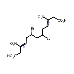 CCC(C/C=C(/CC(=O)O)[N+](=O)[O-])CC(CC)C/C=C(/CC(=O)O)[N+](=O)[O-]